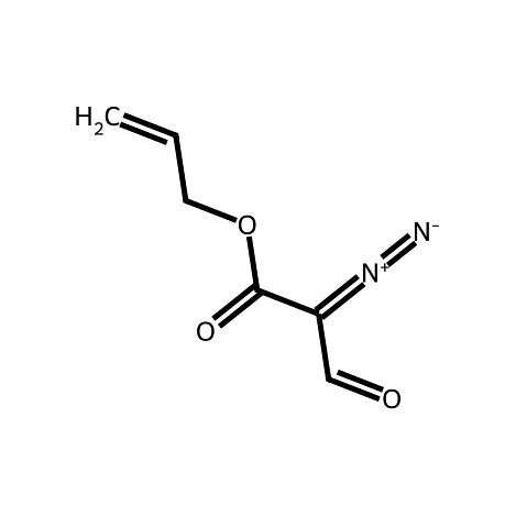 C=CCOC(=O)C(C=O)=[N+]=[N-]